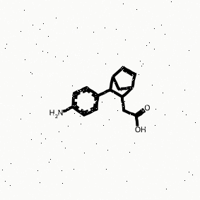 Nc1ccc(C2C3C=CC(C3)C2CC(=O)O)cc1